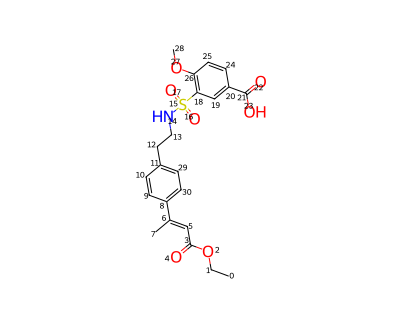 CCOC(=O)C=C(C)c1ccc(CCNS(=O)(=O)c2cc(C(=O)O)ccc2OC)cc1